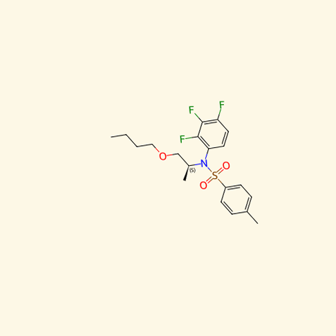 CCCCOC[C@H](C)N(c1ccc(F)c(F)c1F)S(=O)(=O)c1ccc(C)cc1